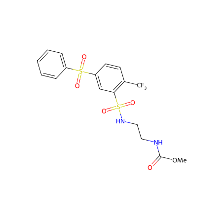 COC(=O)NCCNS(=O)(=O)c1cc(S(=O)(=O)c2ccccc2)ccc1C(F)(F)F